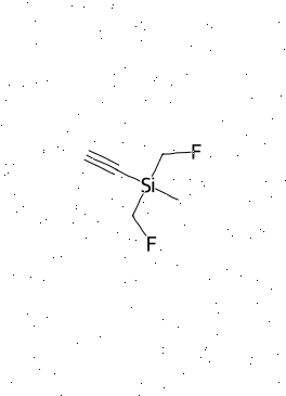 C#C[Si](C)(CF)CF